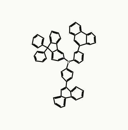 c1ccc(C2(c3ccccc3)c3ccccc3-c3cc(N(c4ccc(-c5cc6ccccc6c6ccccc56)cc4)c4cccc(-c5cc6ccccc6c6ccccc56)c4)ccc32)cc1